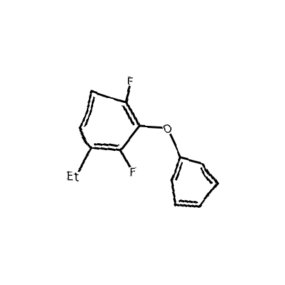 CCc1ccc(F)c(Oc2ccccc2)c1F